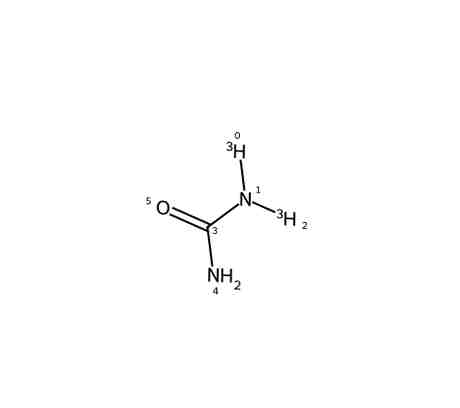 [3H]N([3H])C(N)=O